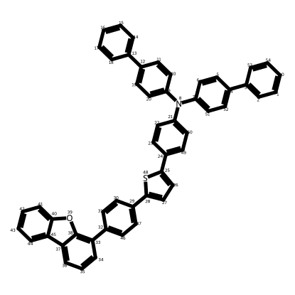 c1ccc(-c2ccc(N(c3ccc(-c4ccccc4)cc3)c3ccc(-c4ccc(-c5ccc(-c6cccc7c6oc6ccccc67)cc5)s4)cc3)cc2)cc1